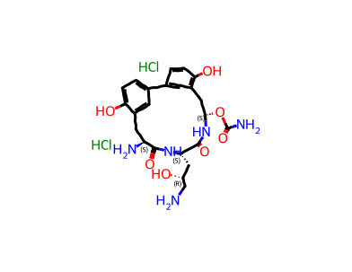 Cl.Cl.NC[C@H](O)C[C@@H]1NC(=O)[C@@H](N)Cc2cc(ccc2O)-c2ccc(O)c(c2)C[C@H](OC(N)=O)NC1=O